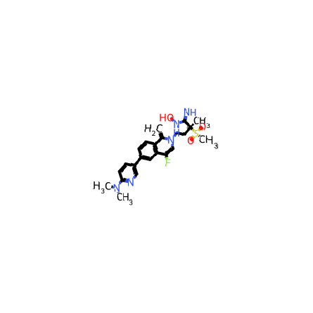 C=C1c2ccc(-c3ccc(N(C)C)nc3)cc2C(F)=CN1CC[C@](C)(C(=N)NO)S(C)(=O)=O